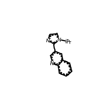 CC(C)n1ccnc1-c1cnc2ccccc2c1